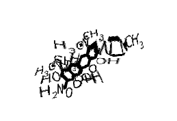 CN1CCN(c2cc(N(C)C)c3c(c2O)C(=O)C2=C(O)[C@]4(O)C(=O)C(C(N)=O)=C(O)[C@@H](N(C)C)[C@@H]4C[C@@H]2C3)CC1